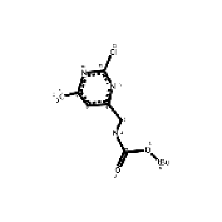 CC(C)(C)OC(=O)NCc1cc(C(F)(F)F)nc(Cl)n1